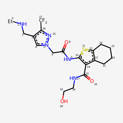 CCNCc1cn(CC(=O)Nc2sc3c(c2C(=O)NCCO)CCCC3)nc1C(F)(F)F